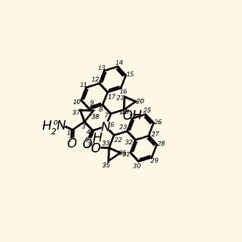 NC(=O)C1(C(=O)N(C(c2cccc3ccccc23)C2(O)CC2)C(c2cccc3ccccc23)C2(O)CC2)CC1